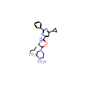 O=C(O)CCC[C@H](NC(=O)c1cc(C2CC2)nc(-c2ccccc2)n1)C(=O)N1CCN(C(=O)O)CC1